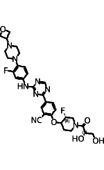 N#Cc1cc(-c2ncnc(Nc3ccc(N4CCN(C5COC5)CC4)c(F)c3)n2)ccc1OC1CCN(C(=O)[C@@H](O)CO)C[C@H]1F